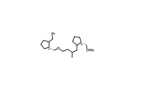 COC[C@H]1CCCN1CC(C)CCOC[C@@H]1CCCN1CC(C)C